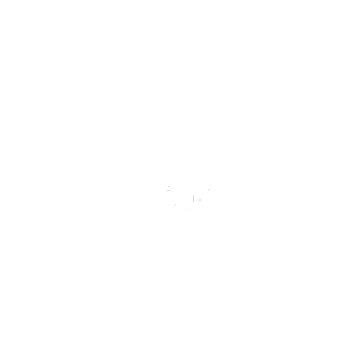 [Au].[Au].[Cu].[Ta]